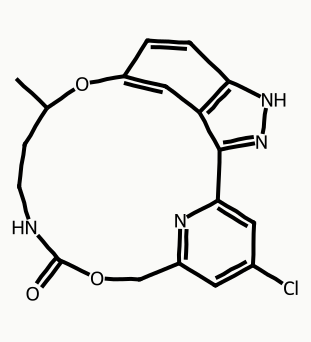 CC1CCNC(=O)OCc2cc(Cl)cc(n2)-c2n[nH]c3ccc(cc23)O1